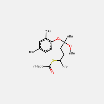 CCCCCCCC(=O)SC(CCC)CC[Si](CCCC)(OCCCC)Oc1ccc(C(C)(C)C)cc1C(C)(C)C